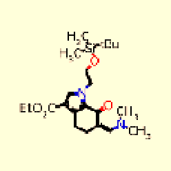 CCOC(=O)c1cn(CCO[Si](C)(C)C(C)(C)C)c2c1CC/C(=C/N(C)C)C2=O